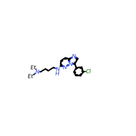 CCN(CC)CCCCNc1ccc2ncc(-c3cccc(Cl)c3)n2n1